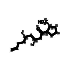 C=CCC[C@H](C)C[C@@H](C)CC(=O)N1CCC[C@H]1C(=O)O